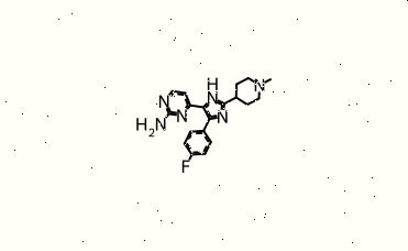 CN1CCC(c2nc(-c3ccc(F)cc3)c(-c3ccnc(N)n3)[nH]2)CC1